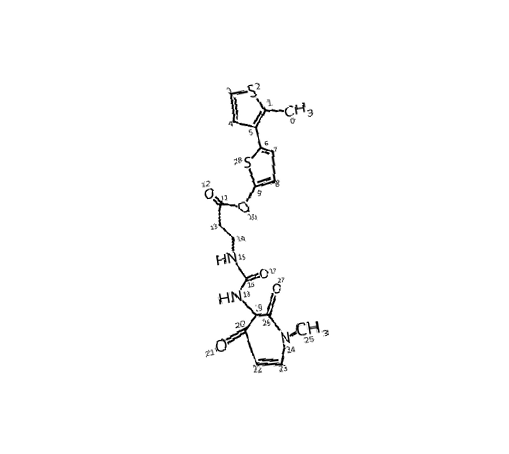 Cc1sccc1-c1ccc(OC(=O)CCNC(=O)NC2C(=O)C=CN(C)C2=O)s1